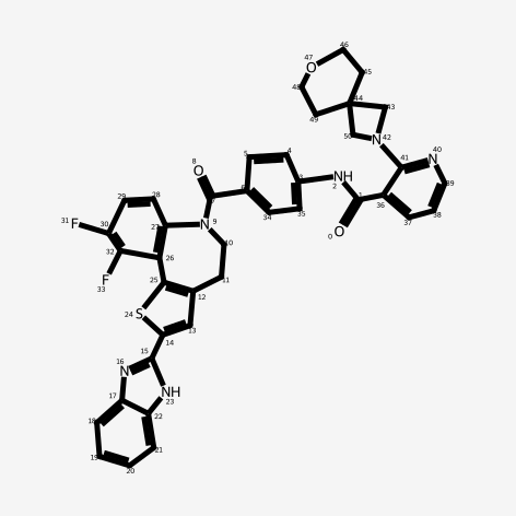 O=C(Nc1ccc(C(=O)N2CCc3cc(-c4nc5ccccc5[nH]4)sc3-c3c2ccc(F)c3F)cc1)c1cccnc1N1CC2(CCOCC2)C1